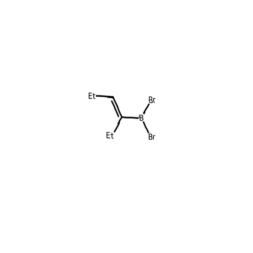 CC/C=C(\CC)B(Br)Br